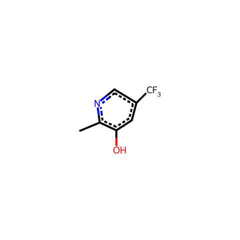 Cc1ncc(C(F)(F)F)cc1O